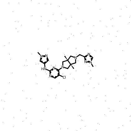 Cn1cc(Nc2ncc(Cl)c(N3C[C@]4(C)CN(Cc5ncn(C)n5)C[C@]4(C)C3)n2)cn1